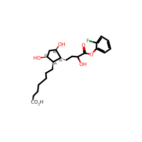 O=C(O)CCCCCC[C@@H]1[C@@H](CCC(O)C(=O)Oc2ccccc2F)[C@H](O)C[C@@H]1O